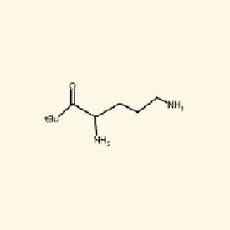 CC(C)(C)C(=O)C(N)CCCN